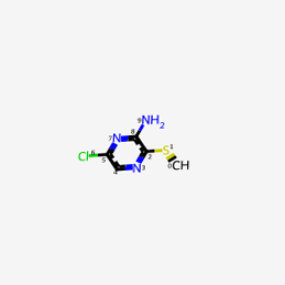 C#Sc1ncc(Cl)nc1N